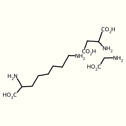 NC(CC(=O)O)C(=O)O.NCC(=O)O.NCCCCCCC(N)C(=O)O